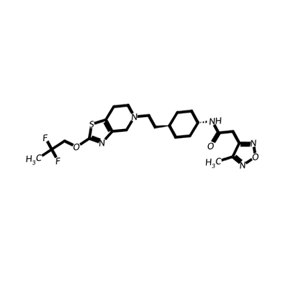 Cc1nonc1CC(=O)N[C@H]1CC[C@H](CCN2CCc3sc(OCC(C)(F)F)nc3C2)CC1